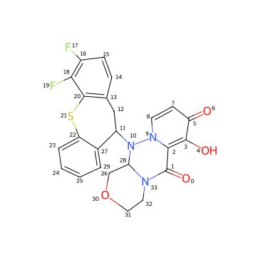 O=C1c2c(O)c(=O)ccn2N(C2Cc3ccc(F)c(F)c3Sc3ccccc32)C2COCCN12